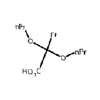 CCCOC(CC)(OCCC)C(=O)O